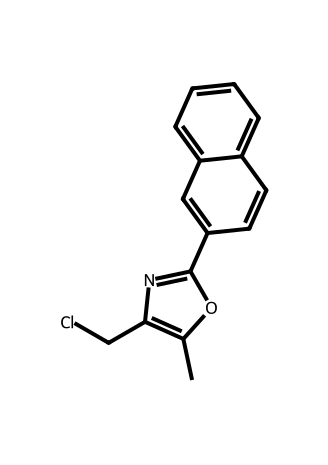 Cc1oc(-c2ccc3ccccc3c2)nc1CCl